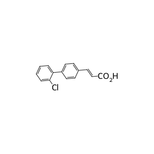 O=C(O)/C=C/c1ccc(-c2ccccc2Cl)cc1